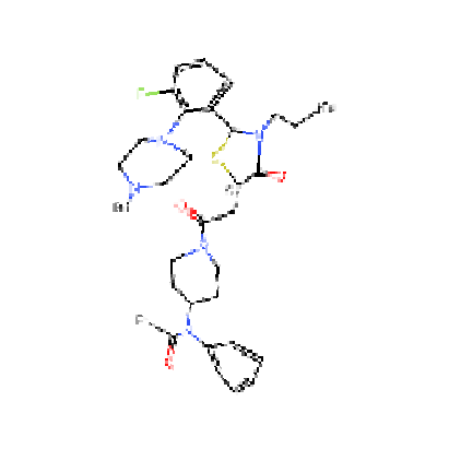 CCC(=O)N(c1ccccc1)C1CCN(C(=O)C[C@@H]2SC(c3cccc(F)c3N3CCN(C(C)(C)C)CC3)N(CCC(C)(C)C)C2=O)CC1